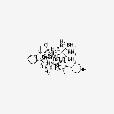 BC(B)(B)C(B)(Oc1cc(C2CCNCC2)c(C)cc1Nc1ncc(Cl)c(Nc2ccccc2S(=O)(=O)C(B)(C(B)(B)B)C(B)(B)B)n1)C(B)(B)B